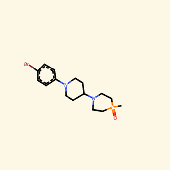 CP1(=O)CCN(C2CCN(c3ccc(Br)cc3)CC2)CC1